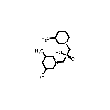 CC1CCCN(CP(=O)(O)CN2CC(C)CC(C)C2)C1